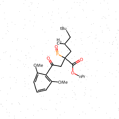 CCCOC(=O)C(CC(=O)c1c(OC)cccc1OC)(CC(C)CC(C)(C)C)P=O